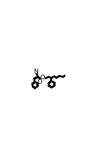 CCCCCC(CCOC(=O)C(C#N)=Cc1ccccc1)c1ccccc1